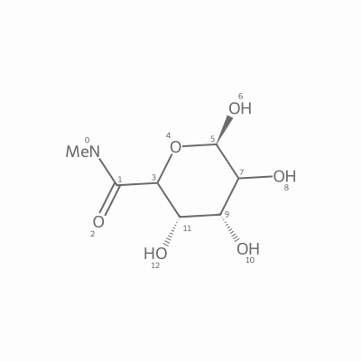 CNC(=O)C1O[C@@H](O)C(O)[C@H](O)[C@@H]1O